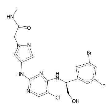 CNC(=O)Cn1cc(Nc2ncc(Cl)c(N[C@H](CO)c3cc(F)cc(Br)c3)n2)cn1